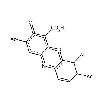 CC(=O)c1cc2nc3c(oc-2c(C(=O)O)c1=O)C(C(C)=O)C(C(C)=O)C=C3